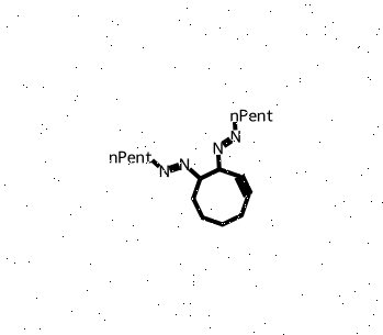 CCCCCN=NC1C#CCCCCC1N=NCCCCC